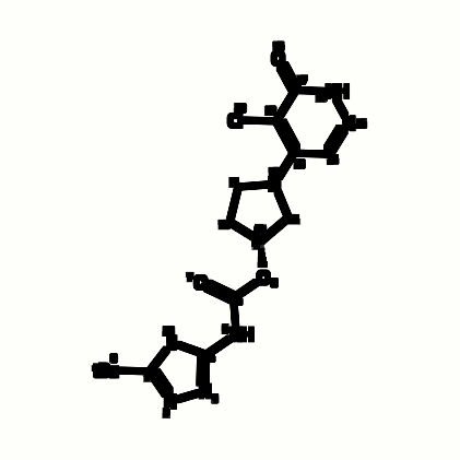 CC(C)(C)c1nnc(NC(=O)O[C@@H]2CCN(c3cn[nH]c(=O)c3Cl)C2)s1